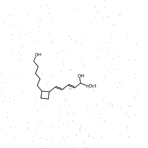 CCCCCCCCC(O)/C=C/C=CC1CCC1CCCCCO